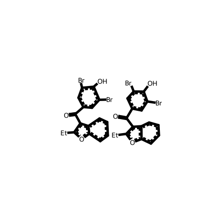 CCc1oc2ccccc2c1C(=O)c1cc(Br)c(O)c(Br)c1.CCc1oc2ccccc2c1C(=O)c1cc(Br)c(O)c(Br)c1